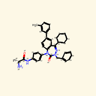 Cc1cccc(-c2ccc3c(c2)C(C2CCCCC2)=NN(Cc2ccccc2)C(=O)N3c2ccc(NC(=O)[C@H](N)C(C)C)cc2)c1